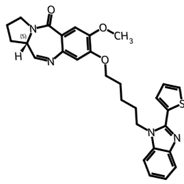 COc1cc2c(cc1OCCCCCn1c(-c3cccs3)nc3ccccc31)N=C[C@@H]1CCCN1C2=O